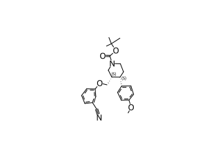 COc1ccc([C@H]2CCN(C(=O)OC(C)(C)C)C[C@H]2COc2cccc(C#N)c2)cc1